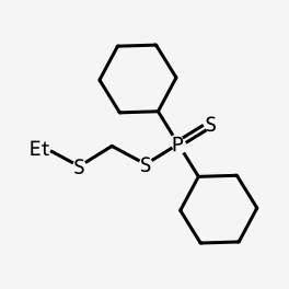 CCSCSP(=S)(C1CCCCC1)C1CCCCC1